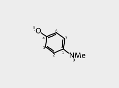 CNc1ccc([O])cc1